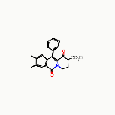 CCOC(=O)C1CCn2c(c(-c3ccccc3)c3cc(C)c(C)cc3c2=O)C1=O